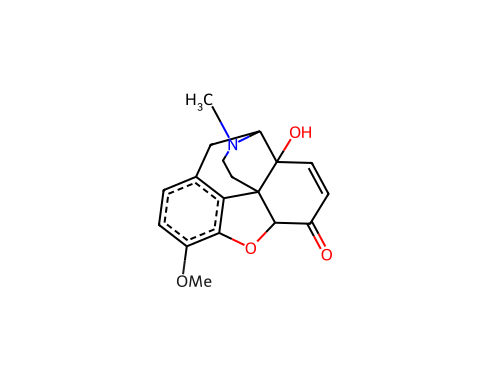 COc1ccc2c3c1OC1C(=O)C=CC4(O)C(C2)N(C)CCC314